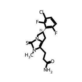 Cn1c(CCC(N)=O)c2n(c1=S)C[C@H](c1c(F)ccc(Cl)c1F)C2